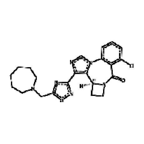 O=C1c2c(Cl)cccc2-n2cnc(-c3noc(CN4CCCCCC4)n3)c2[C@@H]2CCN12